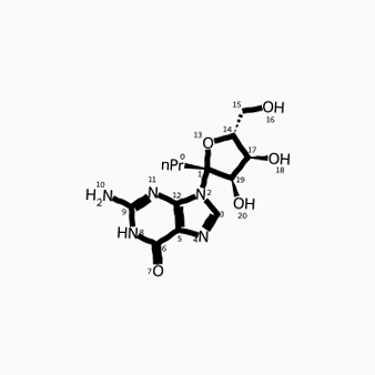 CCC[C@@]1(n2cnc3c(=O)[nH]c(N)nc32)O[C@H](CO)[C@@H](O)[C@H]1O